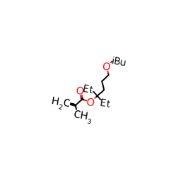 C=C(C)C(=O)OC(CC)(CC)CCCOC(C)CC